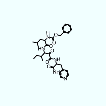 CCC(C)C(NC(=O)C(CC(C)C)NC(=O)OCc1ccccc1)C(=O)C(=O)NC(Cc1ccncc1)C(N)=O